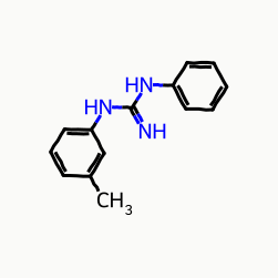 Cc1cccc(NC(=N)Nc2ccccc2)c1